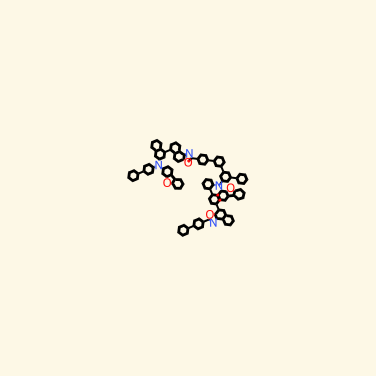 c1ccc(-c2ccc(-c3nc4c(o3)c(-c3ccc(-c5ccccc5N(c5cc(-c6ccccc6)cc(-c6cccc(-c7ccc(-c8nc9c(ccc%10c(-c%11cc(N(c%12ccc(-c%13ccccc%13)cc%12)c%12ccc%13c(c%12)oc%12ccccc%12%13)cc%12ccccc%11%12)cccc%109)o8)cc7)c6)c5)c5cccc6c5oc5ccccc56)cc3)cc3ccccc34)cc2)cc1